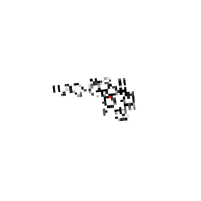 COc1cc(Nc2cc(N3OCCC3c3ccc(Cl)cc3F)ncn2)ccc1N1CCC(N2CCN(C)CC2)CC1